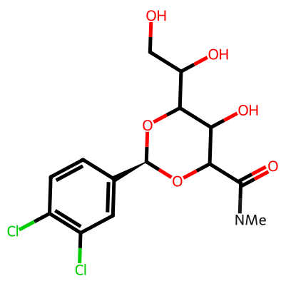 CNC(=O)C1O[C@@H](c2ccc(Cl)c(Cl)c2)OC(C(O)CO)C1O